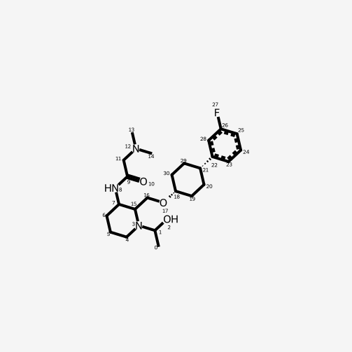 CC(O)N1CCCC(NC(=O)CN(C)C)C1CO[C@H]1CC[C@@H](c2cccc(F)c2)CC1